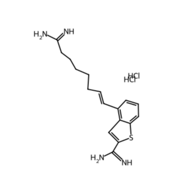 Cl.Cl.N=C(N)CCCCCC=Cc1cccc2sc(C(=N)N)cc12